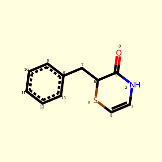 O=C1NC=[C]SC1Cc1ccccc1